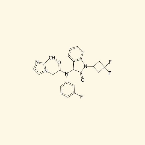 Cc1nccn1CC(=O)N(c1cccc(F)c1)C1C(=O)N(C2CC(F)(F)C2)c2ccccc21